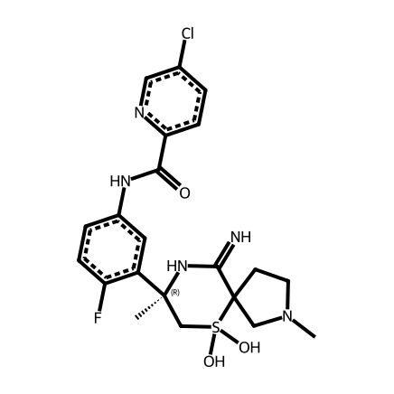 CN1CCC2(C1)C(=N)N[C@](C)(c1cc(NC(=O)c3ccc(Cl)cn3)ccc1F)CS2(O)O